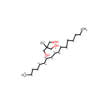 CCC(CO)(CO)CO.CCCCCCCCCCCCCCCCC